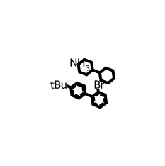 C1CCC(C2CCCCC2)CC1.CC(C)(C)c1ccc(-c2ccccc2Br)cc1.N